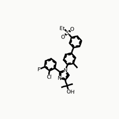 CCS(=O)(=O)c1cccc(-c2ccc(-n3cc(C(C)(C)O)nc3-c3cccc(F)c3Cl)c(C)c2)c1